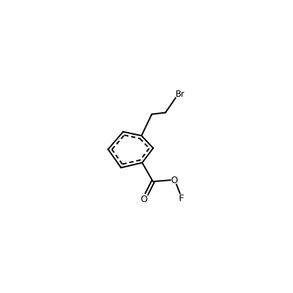 O=C(OF)c1cccc(CCBr)c1